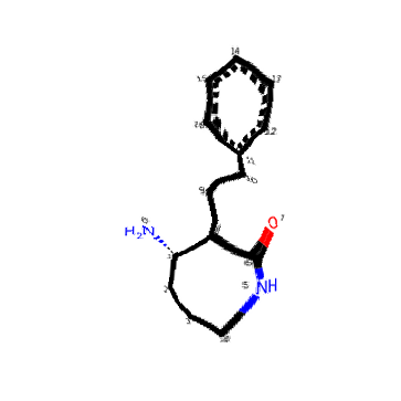 N[C@H]1CCCNC(=O)C1CCc1ccccc1